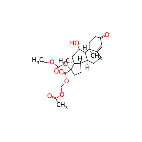 CCOC(=O)OC1(C(=O)OCOC(C)=O)CC[C@H]2[C@@H]3CCC4=CC(=O)CC[C@]4(C)[C@@H]3C(O)C[C@@]21C